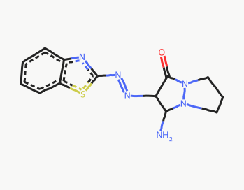 NC1C(/N=N/c2nc3ccccc3s2)C(=O)N2CCCN12